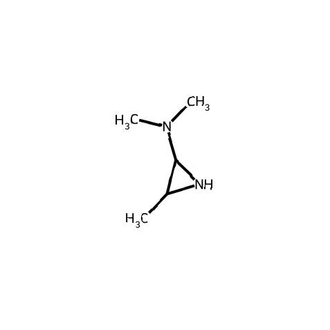 CC1NC1N(C)C